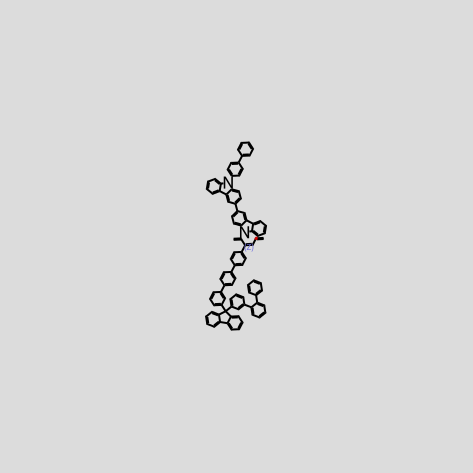 C=C/C=C(\C(=C)n1c2ccccc2c2cc(-c3ccc4c(c3)c3ccccc3n4-c3ccc(-c4ccccc4)cc3)ccc21)c1ccc(-c2ccc(-c3cccc(C4(c5cccc(-c6ccccc6-c6ccccc6)c5)c5ccccc5-c5ccccc54)c3)cc2)cc1